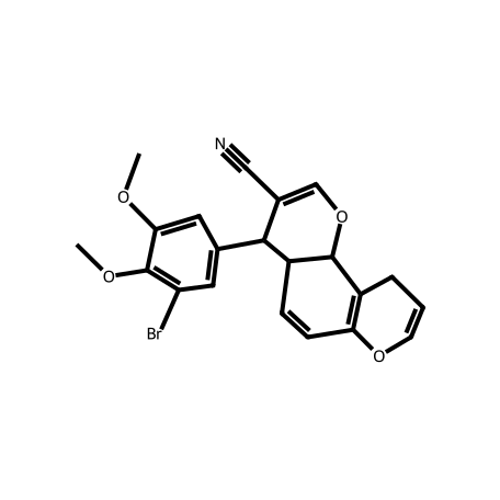 COc1cc(C2C(C#N)=COC3C4=C(C=CC32)OC=CC4)cc(Br)c1OC